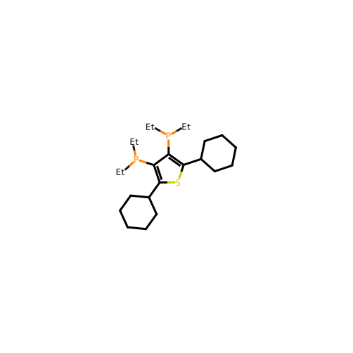 CCP(CC)c1c(C2CCCCC2)sc(C2CCCCC2)c1P(CC)CC